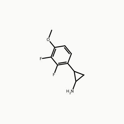 COc1ccc(C2CC2N)c(F)c1F